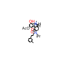 CC(=O)Oc1cc(O)c2c3c1O[C@H]1[C@@H](N(CC(C)C)C(=O)C=Cc4cccc(C)c4)CC[C@H]4[C@@H](C2)N(C)CC[C@@]341